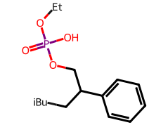 CCOP(=O)(O)OCC(CC(C)CC)c1ccccc1